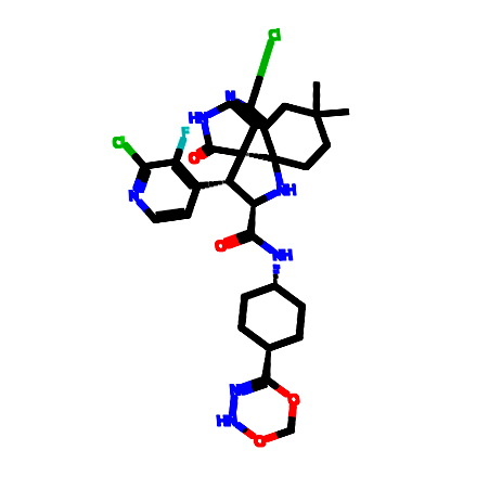 CC1(C)CCC2(CC1)N[C@@H](C(=O)N[C@H]1CC[C@H](C3=NNOCO3)CC1)[C@H](c1ccnc(Cl)c1F)[C@]21C(=O)Nc2nc(Cl)ccc21